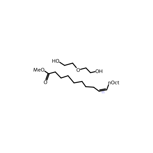 CCCCCCCC/C=C\CCCCCCCC(=O)OC.OCCOCCO